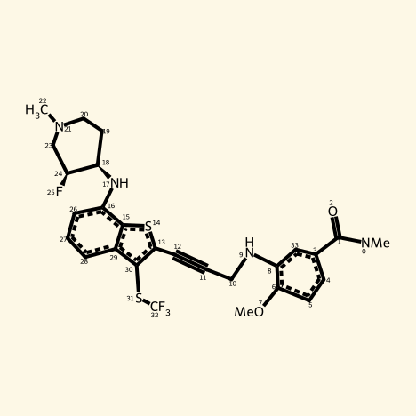 CNC(=O)c1ccc(OC)c(NCC#Cc2sc3c(N[C@@H]4CCN(C)C[C@@H]4F)cccc3c2SC(F)(F)F)c1